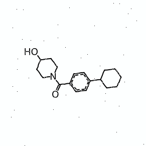 O=C(c1ccc(C2CCCCC2)cc1)N1CCC(O)CC1